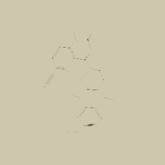 CC[C@@H]1CN(c2nc(=O)n(C)c3ccc(C#N)nc23)C(C)CN1C(C)c1ccc(CN)cc1